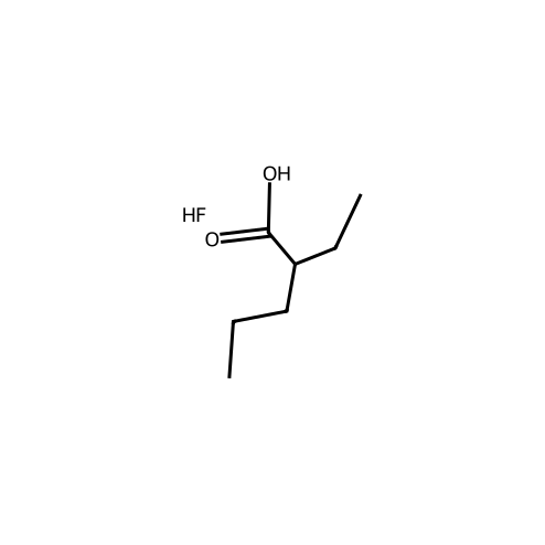 CCCC(CC)C(=O)O.F